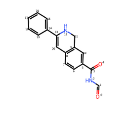 O=CNC(=O)c1ccc2c(c1)CNC(c1ccccc1)=C2